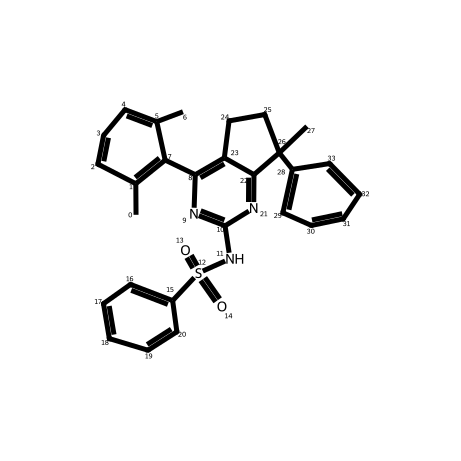 Cc1cccc(C)c1-c1nc(NS(=O)(=O)c2ccccc2)nc2c1CCC2(C)c1ccccc1